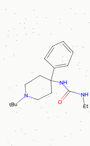 CCNC(=O)NC1(c2ccccc2)CCN(C(C)(C)C)CC1